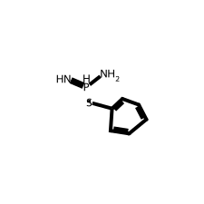 N=[PH](N)Sc1ccccc1